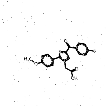 COc1ccc(-c2sc(C(=O)c3ccc(F)cc3)cc2CC(=O)O)cc1